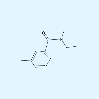 CCN(C)C(=O)c1cccc(C)c1